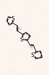 C(=C\c1ccc(/C=C/c2cccs2)s1)/c1cccs1